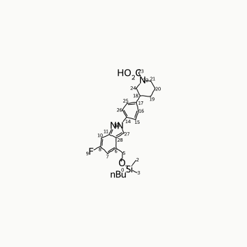 CCCC[Si](C)(C)OCc1cc(F)cc2nn(-c3ccc(C4CCCN(C(=O)O)C4)cc3)cc12